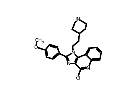 COc1ccc(-c2nc3c(Cl)nc4ccccc4c3n2CCC2CCNCC2)cc1